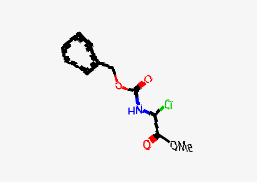 COC(=O)C(Cl)NC(=O)OCc1ccccc1